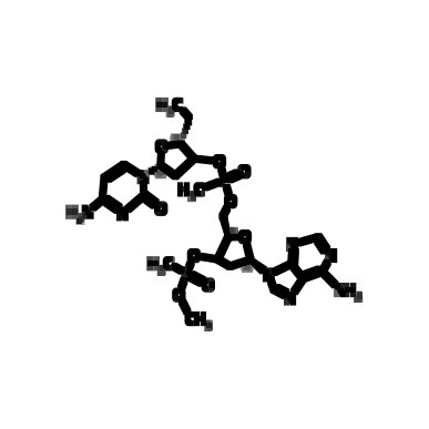 CC[C@H]1O[C@@H](n2ccc(N)nc2=O)CC1OP(C)(=O)OC[C@H]1O[C@@H](n2cnc3c(N)ncnc32)CC1OP(C)(=O)OC